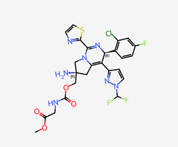 COC(=O)CNC(=O)OC[C@@]1(N)CC2=C(c3ccn(C(F)F)n3)[C@H](c3ccc(F)cc3Cl)N=C(c3nccs3)N2C1